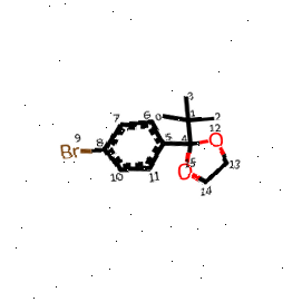 CC(C)(C)C1(c2ccc(Br)cc2)OCCO1